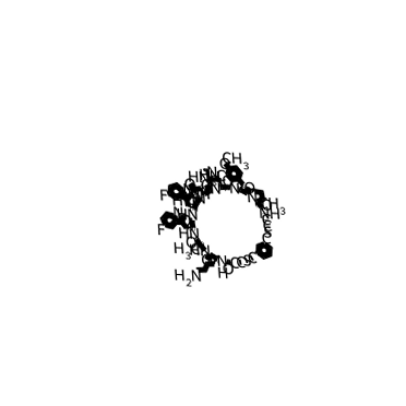 COc1ccc(C[C@@H]2NC(=O)[C@H](Cc3c[nH]cn3)NC(=O)[C@H](CC(=O)O)NC(=O)[C@H](Cc3c[nH]c4ccc(F)cc34)NC(=O)[C@H](Cc3c[nH]c4ccc(F)cc34)NC(=O)[C@@H](C)NC(=O)[C@H](CCCCN)NC(=O)CCSCc3cccc(c3)CSCCNC(=O)[C@]3(C)CCCN3C2=O)cc1C